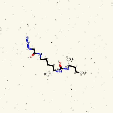 [N-]=[N+]=NCC(=O)NCCCC[C@H](NC(=O)N[C@@H](CCC(=O)O)C(=O)O)C(=O)O